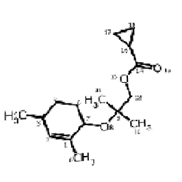 CC1=CC(C)CCC1OC(C)(C)COC(=O)C1CC1